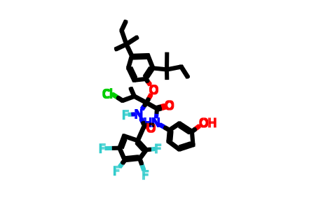 CCC(C)(C)c1ccc(OC(C(=O)Nc2cccc(O)c2)(C(C)CCl)N(F)C(=O)c2cc(F)c(F)c(F)c2F)c(C(C)(C)CC)c1